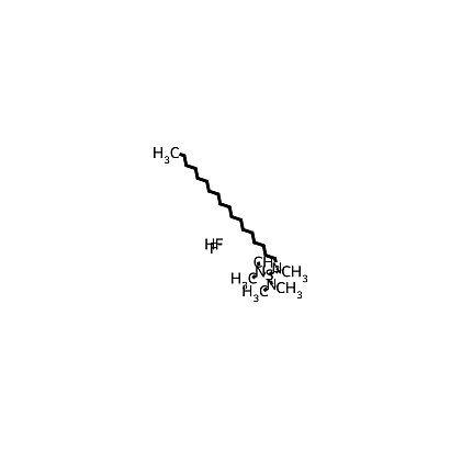 CCCCCCCCCCCCCCCCCCN(C)[S+](N(C)C)N(C)C.F.[F-]